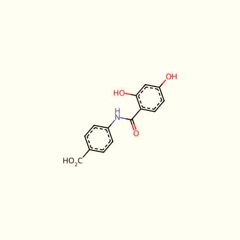 O=C(O)c1ccc(NC(=O)c2ccc(O)cc2O)cc1